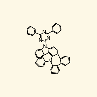 c1ccc(-c2nc(-c3ccccc3)nc(-n3c4ccccc4c4c5c(ccc43)-c3ccccc3-c3ccccc3N5c3ccccc3)n2)cc1